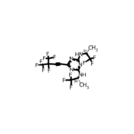 C[C@@H](Nc1nc(C#CC(F)(C(F)(F)F)C(F)(F)F)nc(N[C@H](C)C(F)(F)F)n1)C(F)(F)F